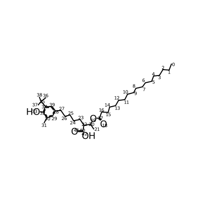 CCCCCCCCCCCCCCCCCC(=O)OC(C)C(CCCCCc1cc(C)c(O)c(C(C)(C)C)c1)C(=O)O